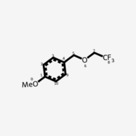 COc1ccc(COCC(F)(F)F)cc1